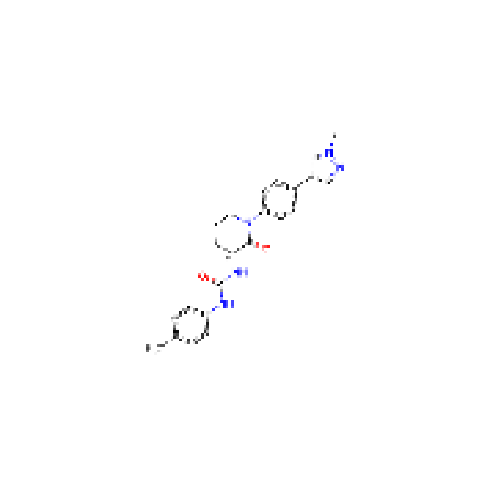 Cn1cc(-c2ccc(N3CCC[C@@H](NC(=O)Nc4ccc(C(F)(F)F)cc4)C3=O)cc2)cn1